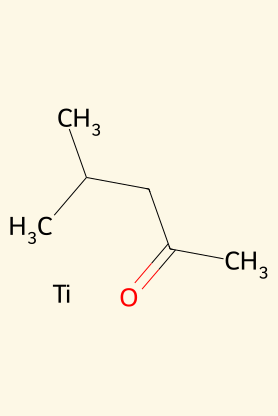 CC(=O)CC(C)C.[Ti]